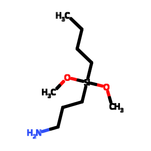 CCCC[Si](CCCN)(OC)OC